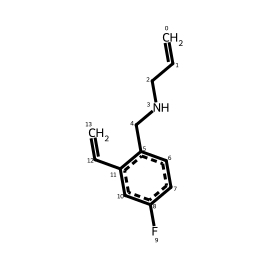 C=CCNCc1ccc(F)cc1C=C